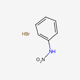 Br.O=[N+]([O-])Nc1ccccc1